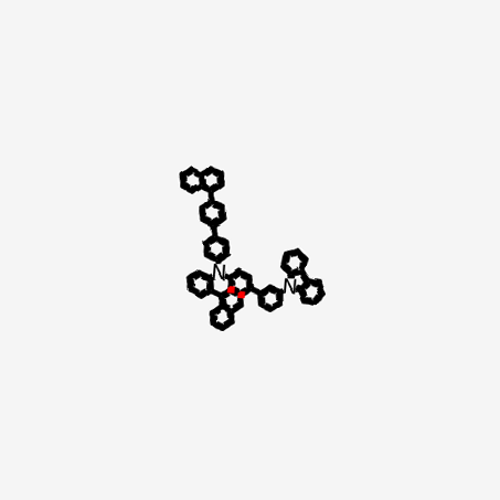 c1cc(-c2ccc(N(c3ccc(-c4ccc(-c5cccc6ccccc56)cc4)cc3)c3ccccc3-c3cccc4ccccc34)cc2)cc(-n2c3ccccc3c3ccccc32)c1